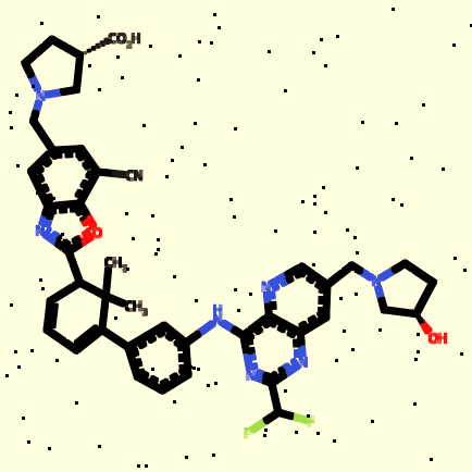 CC1(C)C(c2cccc(Nc3nc(C(F)F)nc4cc(CN5CC[C@@H](O)C5)cnc34)c2)=CC=CC1c1nc2cc(CN3CC[C@H](C(=O)O)C3)cc(C#N)c2o1